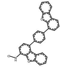 ClNc1ccc(-c2ccc(-c3cccc4c3oc3ccccc34)cc2)c2c1oc1ccccc12